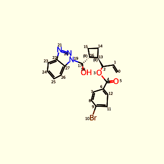 C=CC(OC(=O)c1ccc(Br)cc1)[C@@H]1CC[C@H]1C(O)n1nnc2ccccc21